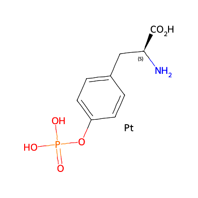 N[C@@H](Cc1ccc(OP(=O)(O)O)cc1)C(=O)O.[Pt]